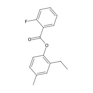 CCc1cc(C)ccc1OC(=O)c1ccccc1F